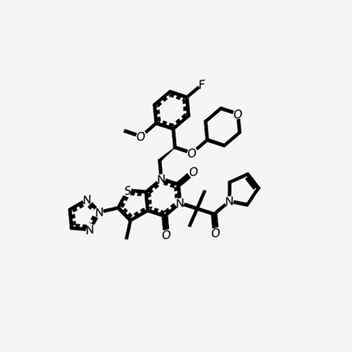 COc1ccc(F)cc1[C@H](Cn1c(=O)n(C(C)(C)C(=O)N2CC=CC2)c(=O)c2c(C)c(-n3nccn3)sc21)OC1CCOCC1